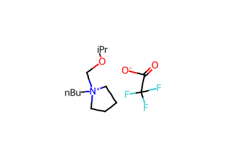 CCCC[N+]1(COC(C)C)CCCC1.O=C([O-])C(F)(F)F